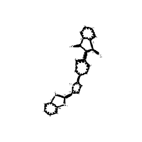 O=C1C(=c2ccc(=c3ccc(=C4Sc5ccccc5S4)s3)cc2)C(=O)c2ccccc21